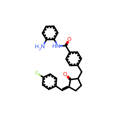 Nc1ccccc1NC(=O)c1ccc(CC2CCC(=Cc3ccc(F)cc3)C2=O)cc1